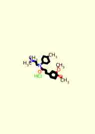 COc1ccc(C=CC(=O)N(CCN(C)C)C2CCC(C)CC2)cc1OC.Cl